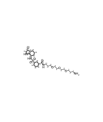 NCCCOCCOCCOCCCNC(=O)c1cccc(S(=O)(=O)Nc2cccc3c(Cl)c[nH]c23)c1